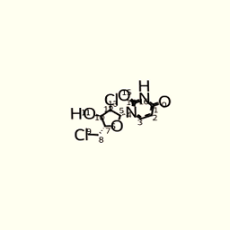 O=c1ccn([C@@H]2O[C@H](CCl)[C@@H](O)[C@H]2Cl)c(=O)[nH]1